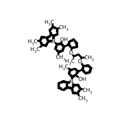 Cc1cc(-c2ccccc2OC(C)C[C@@H](C)Oc2ccccc2-c2cc(C)cc(-n3c4cc(C)c(C)cc4c4cc(C)c(C)cc43)c2O)c(O)c(-n2c3ccccc3c3cc(C)c(C)cc32)c1